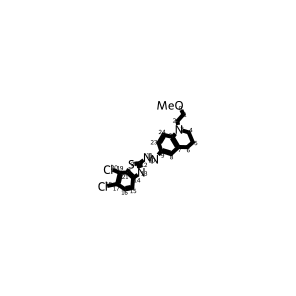 COCCN1CCCc2cc(/N=N/c3nc4ccc(Cl)c(Cl)c4s3)ccc21